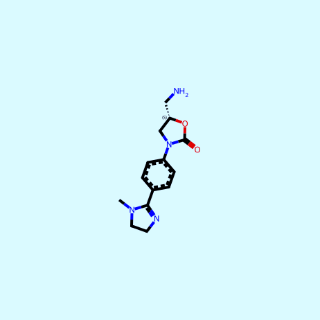 CN1CCN=C1c1ccc(N2C[C@H](CN)OC2=O)cc1